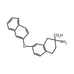 NC1(C(=O)O)CCc2ccc(Oc3ccc4ccccc4c3)cc2C1